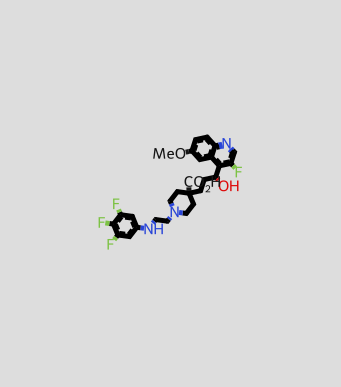 COc1ccc2ncc(F)c(C(O)CCC3(C(=O)O)CCN(CCNc4cc(F)c(F)c(F)c4)CC3)c2c1